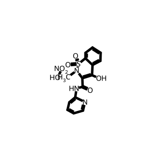 CN1C(C(=O)Nc2ccccn2)=C(O)c2ccccc2S1(=O)=O.O=[N+]([O-])O